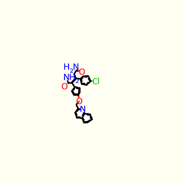 NC(=O)CC(=C(C(N)=O)c1ccc(OCc2ccc3ccccc3n2)cc1)c1ccc(Cl)cc1